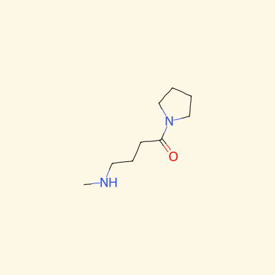 CNCCCC(=O)N1CCCC1